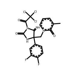 Cc1cccn(CC2(c3ccc(F)c(F)c3)NC(=O)N(C(=O)C(Cl)(Cl)Cl)C2=N)c1=O